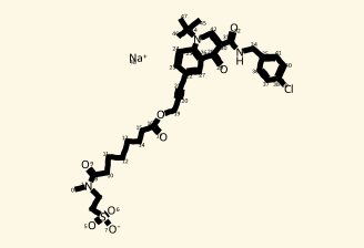 CN(CCS(=O)(=O)[O-])C(=O)CCCCCCC(=O)OCC#Cc1ccc2c(c1)c(=O)c(C(=O)NCc1ccc(Cl)cc1)cn2C(C)(C)C.[Na+]